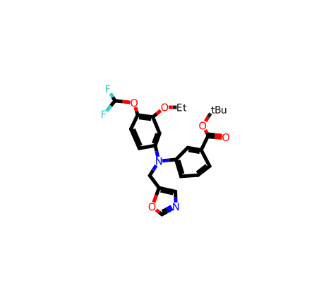 CCOc1cc(N(Cc2cnco2)c2cccc(C(=O)OC(C)(C)C)c2)ccc1OC(F)F